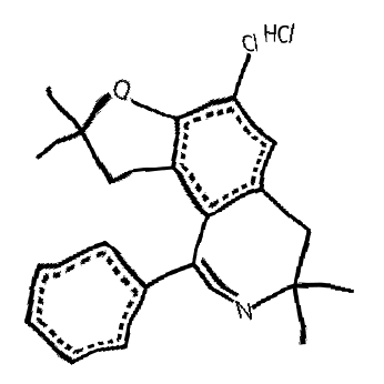 CC1(C)Cc2cc(Cl)c3c(c2C(c2ccccc2)=N1)CC(C)(C)O3.Cl